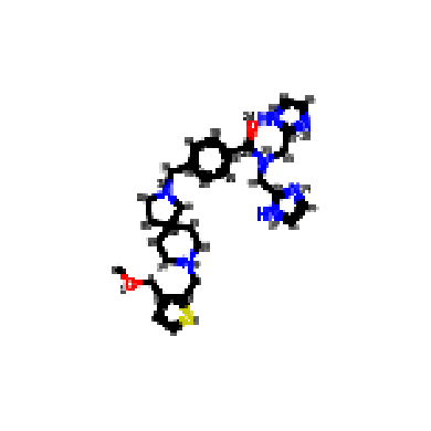 COCc1ccsc1CN1CCC2(CC1)CCN(Cc1ccc(C(=O)N(Cc3ncc[nH]3)Cc3ncc[nH]3)cc1)C2